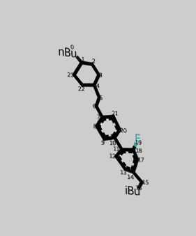 CCCCC1CCC(CCc2ccc(-c3ccc(CC(C)CC)cc3F)cc2)CC1